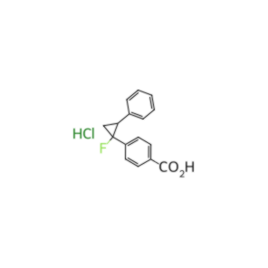 Cl.O=C(O)c1ccc(C2(F)CC2c2ccccc2)cc1